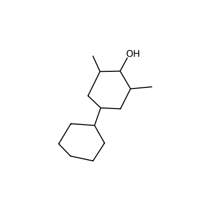 CC1CC(C2CCCCC2)CC(C)C1O